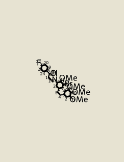 COc1cc(/C=C\c2cc(Br)c(OC)c(N/C=C\C(=O)c3ccc(F)cc3)c2)cc(OC)c1OC